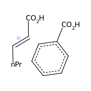 CCC/C=C/C(=O)O.O=C(O)c1ccccc1